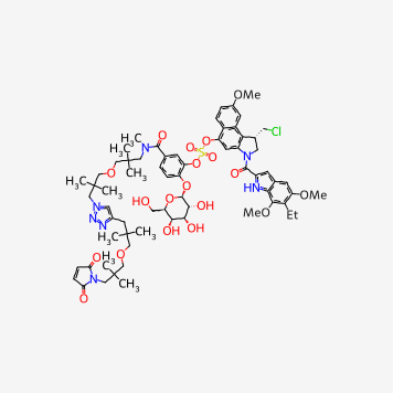 CCc1c(OC)cc2cc(C(=O)N3C[C@@H](CCl)c4c3cc(OS(=O)(=O)Oc3cc(C(=O)N(C)CC(C)(C)COCC(C)(C)Cn5cc(CC(C)(C)COCC(C)(C)CN6C(=O)C=CC6=O)nn5)ccc3O[C@@H]3O[C@H](CO)[C@H](O)[C@H](O)[C@H]3O)c3ccc(OC)cc43)[nH]c2c1OC